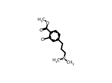 COC(=O)c1ccc(CCCN(C)C)cc1Cl